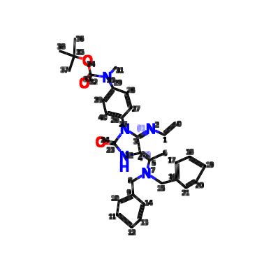 C=C/N=C1\C(=C(/C)N(Cc2ccccc2)Cc2ccccc2)NC(=O)N1c1ccc(N(C)C(=O)OC(C)(C)C)cc1